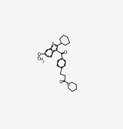 COc1ccc2c(C(=O)c3ccc(CCC(=O)N4CCCCC4)cc3)c(C3CCCCC3)sc2c1